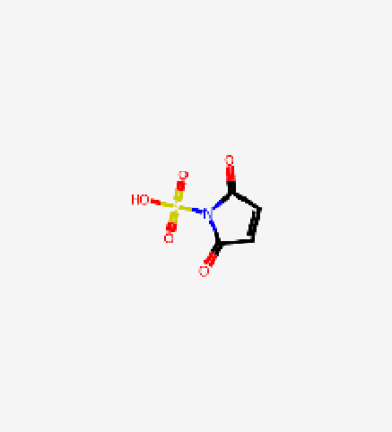 O=C1C=CC(=O)N1S(=O)(=O)O